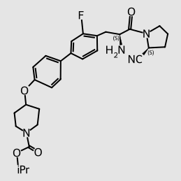 CC(C)OC(=O)N1CCC(Oc2ccc(-c3ccc(C[C@H](N)C(=O)N4CCC[C@H]4C#N)c(F)c3)cc2)CC1